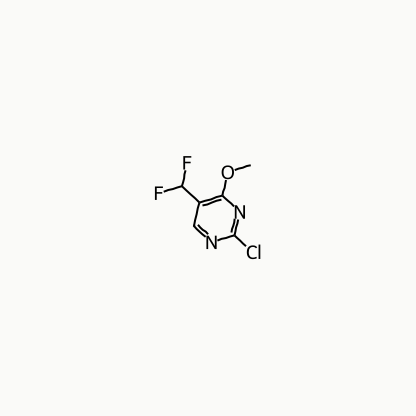 COc1nc(Cl)ncc1C(F)F